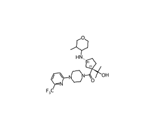 CC1COCCC1N[C@@H]1CC[C@@](C(=O)N2CCN(c3cccc(C(F)(F)F)n3)CC2)(C(C)(C)O)C1